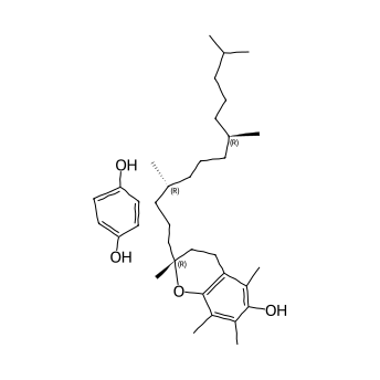 Cc1c(C)c2c(c(C)c1O)CC[C@@](C)(CCC[C@H](C)CCC[C@H](C)CCCC(C)C)O2.Oc1ccc(O)cc1